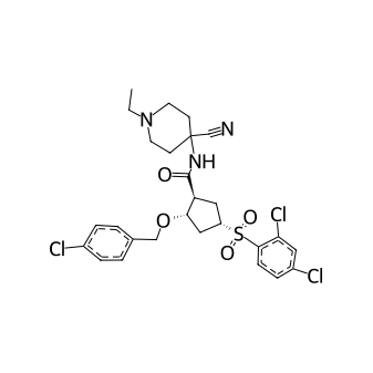 CCN1CCC(C#N)(NC(=O)[C@H]2C[C@H](S(=O)(=O)c3ccc(Cl)cc3Cl)C[C@@H]2OCc2ccc(Cl)cc2)CC1